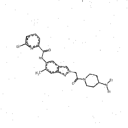 CCc1cccc(C(=O)Nc2cc3cn(CC(=O)N4CCC(N(CC)CC)CC4)nc3cc2C)n1